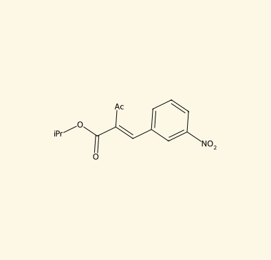 CC(=O)/C(=C\c1cccc([N+](=O)[O-])c1)C(=O)OC(C)C